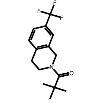 CC(C)(C)C(=O)N1CCc2ccc(C(F)(F)F)cc2C1